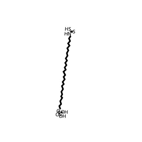 O=P(O)(O)OCCCCCCCCCCCCCCCCCCCCCCCCCCCCCCCNC(=S)S